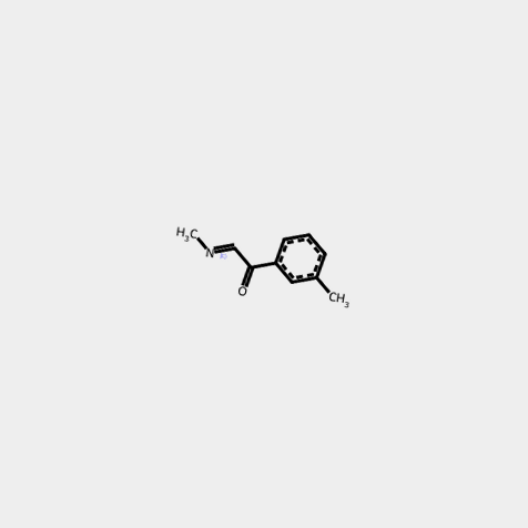 C/N=C/C(=O)c1cccc(C)c1